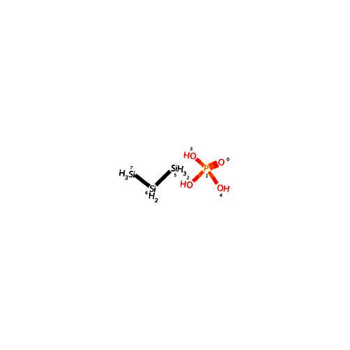 O=P(O)(O)O.[SiH3][SiH2][SiH3]